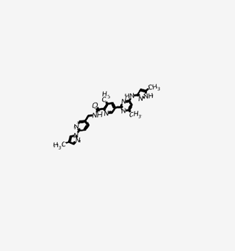 Cc1cnn(-c2ccc(CNC(=O)c3ncc(-c4nc(C)cc(Nc5cc(C)[nH]n5)n4)cc3C)cn2)c1